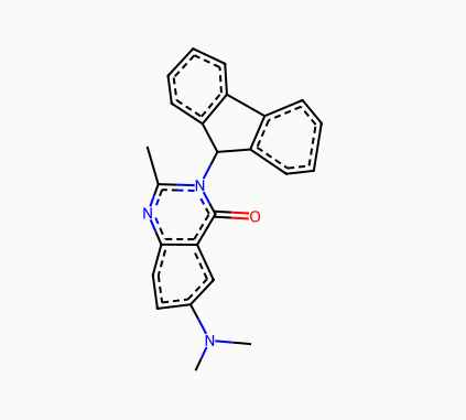 Cc1nc2ccc(N(C)C)cc2c(=O)n1C1c2ccccc2-c2ccccc21